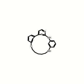 c1cc2cc(c1)Nc1nccc(n1)-c1cccc(c1)OCCCCCN2